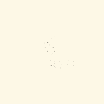 CC(C)(C)OC(=O)N(Cc1cn2ccc(-c3ccccc3)cc2n1)c1cc(Cl)nc2c(C3CC3)cnn12